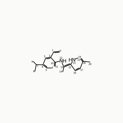 C=C/C(=C/C(=C\C)C(C)C)C(=C)N/C(C)=C(/C=C\C(=C)C)NC